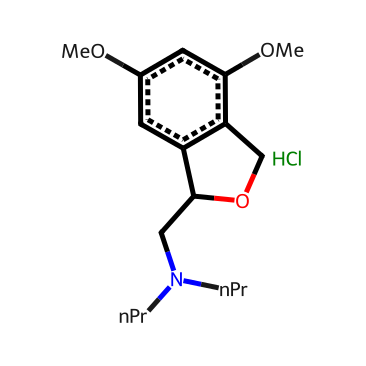 CCCN(CCC)CC1OCc2c(OC)cc(OC)cc21.Cl